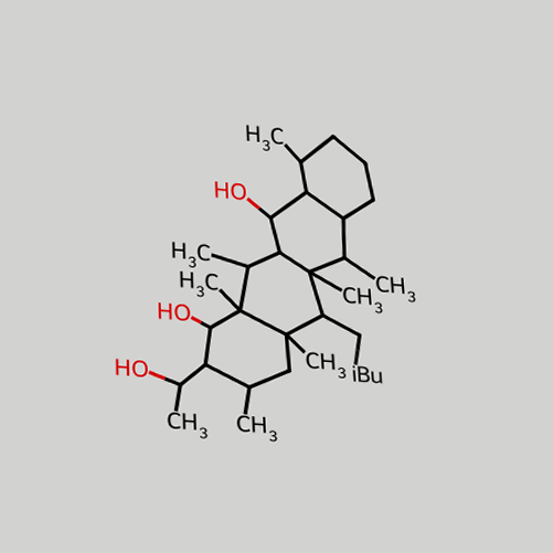 CCC(C)CC1C2(C)C(C)C3CCCC(C)C3C(O)C2C(C)C2(C)C(O)C(C(C)O)C(C)CC12C